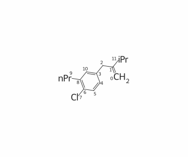 C=C(Cc1ccc(Cl)c(CCC)c1)C(C)C